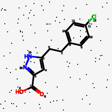 O=C(O)c1cc(CCc2ccc(Cl)cc2)[nH]n1